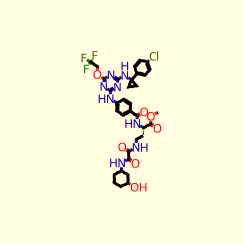 COC(=O)[C@H](CCNC(=O)C(=O)NC1CCCC(O)C1)NC(=O)c1ccc(Nc2nc(NC3(c4ccc(Cl)cc4)CC3)nc(OCC(F)(F)F)n2)cc1